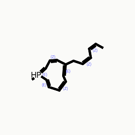 C/C=C\C=C/CC1=C\C=C/C=C/[PH](C)=C/C=C\1